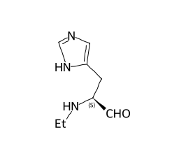 CCN[C@H](C=O)Cc1cnc[nH]1